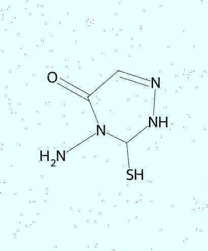 NN1C(=O)C=NNC1S